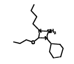 CCCCN1[SiH2]N(C2CCCCC2)C1OCCC